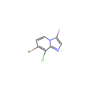 Clc1c(Br)ccn2c(I)cnc12